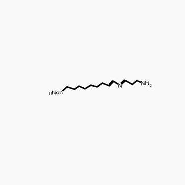 CCCCCCCCCCCCCCCCC=CN=CCCN